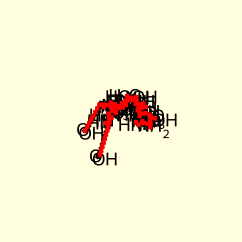 C[C@@H](O)[C@H](NC(=O)CNC(=O)[C@H](CCC(=O)O)NC(=O)[C@@H]1CCCN1C(=O)[C@@H](N)Cc1c[nH]cn1)C(=O)NC(C)(Cc1ccccc1F)C(=O)N[C@H](C(=O)N[C@@H](CO)C(=O)N[C@@H](CC(=O)O)C(=O)N[C@@H](Cc1ccc(-n2cc(CCCCCCCCCCCCCCCC(=O)O)nn2)cc1)C(=O)N[C@@H](Cc1ccc(N2C=C(CCCCCCCCCCCCCCCC(=O)O)NN2)cc1)C(N)=O)[C@@H](C)O